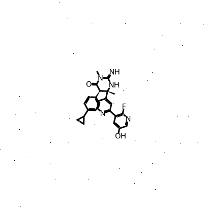 CN1C(=N)N[C@](C)(c2ccnc(-c3cc(O)cnc3F)c2)[C@@H](c2ccc(C3CC3)cc2)C1=O